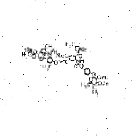 C=C1C[C@@H](CO[Si](C)(C)C(C)(C)C)N(C(=O)c2cc(C)c(OCCCOc3cc(NC(=O)OCc4ccc(O[C@@H]5O[C@H](C)[C@@H](C)[C@H](OC(C)=O)[C@H]5OC(C)=O)cc4)c(C(=O)N4CC(=C)C[C@H]4CC)cc3OC)cc2NP)C1